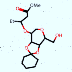 CCC(CC(=O)OC)OC1COC(CO)C2OC3(CCCCC3)OC12